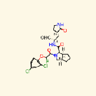 O=C[C@H](C[C@@H]1CCNC1=O)NC(=O)C1[C@H]2CCC[C@H]2CN1C(=O)C(F)Oc1ccc(Cl)cc1Cl